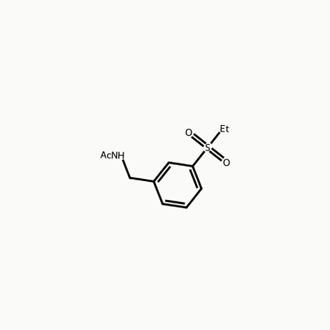 CCS(=O)(=O)c1cccc(CNC(C)=O)c1